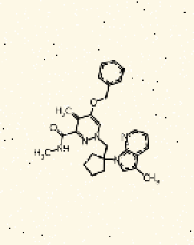 C=C1C(OCc2ccccc2)=CN(CC2(n3cc(C)c4cccnc43)CCCC2)N=C1C(=O)NC